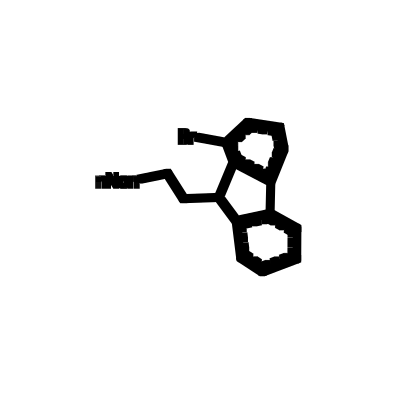 CCCCCCCCCCCC1c2ccccc2-c2cccc(Br)c21